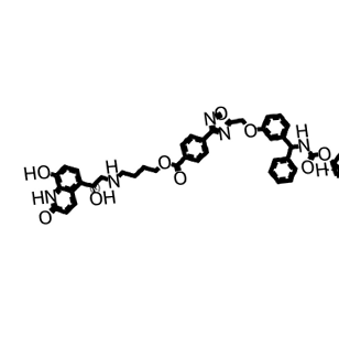 O=C(NC(c1ccccc1)c1cccc(OCc2nc(-c3ccc(C(=O)OCCCCNC[C@H](O)c4ccc(O)c5[nH]c(=O)ccc45)cc3)no2)c1)O[C@H]1CN2CCC1CC2